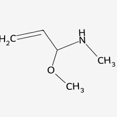 C=CC(NC)OC